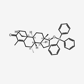 CC1=C2C[C@@H](C)[C@@H]3[C@H](CC[C@]4(C)[C@@H](O[Si](c5ccccc5)(c5ccccc5)c5ccccc5)CC[C@@H]34)[C@@]2(CO)CCC1=O